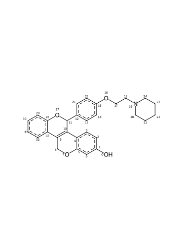 Oc1ccc2c(c1)OCC1=C2C(c2ccc(OCCN3CCCCC3)cc2)Oc2ccccc21